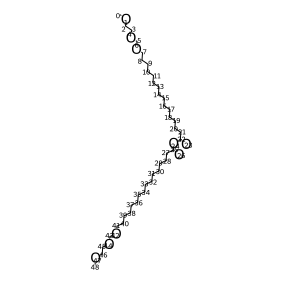 COCCOCOCCCCCCCCCCCCCCCC(=O)OC(=O)CCCCCCCCCCCCCCCOCOCCOC